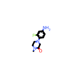 CN1CCN(c2ccc(N)cc2F)CC1=O